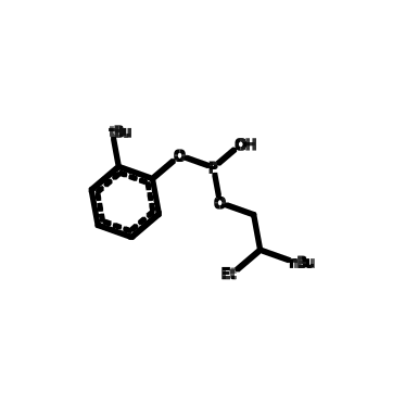 CCCCC(CC)COP(O)Oc1ccccc1C(C)(C)C